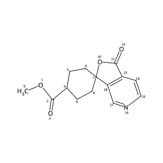 COC(=O)C1CCC2(CC1)OC(=O)c1ccncc12